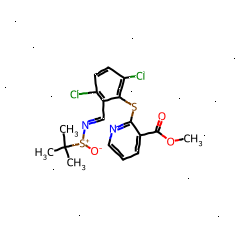 COC(=O)c1cccnc1Sc1c(Cl)ccc(Cl)c1/C=N/[S+]([O-])C(C)(C)C